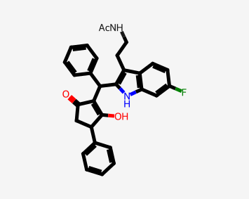 CC(=O)NCCc1c(C(C2=C(O)C(c3ccccc3)CC2=O)c2ccccc2)[nH]c2cc(F)ccc12